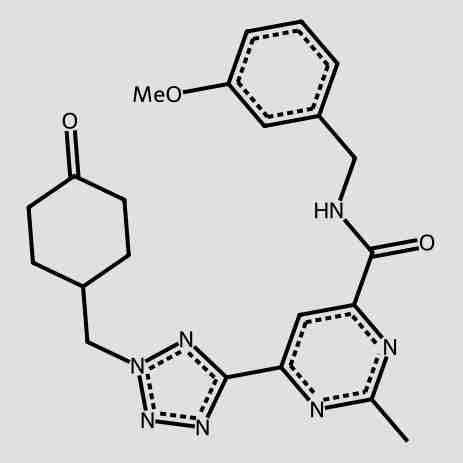 COc1cccc(CNC(=O)c2cc(-c3nnn(CC4CCC(=O)CC4)n3)nc(C)n2)c1